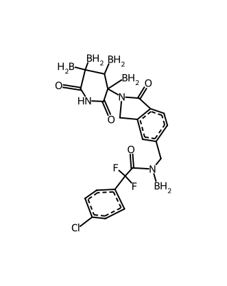 BC1C(B)(B)C(=O)NC(=O)C1(B)N1Cc2cc(CN(B)C(=O)C(F)(F)c3ccc(Cl)cc3)ccc2C1=O